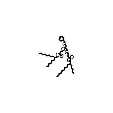 CCCCCCCCCC(CCCCC)COC(=O)CCOCC(COCc1ccccc1)OCCC(=O)OCC(CCCCCC)CCCCCCCC